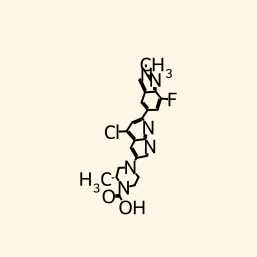 C[C@@H]1CN(c2cnc3nc(-c4cc(F)c5nn(C)cc5c4)cc(Cl)c3c2)CCN1C(=O)O